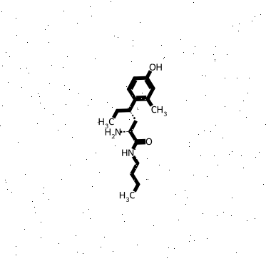 CCCCNC(=O)[C@H](N)C[C@H](CC)c1ccc(O)cc1C